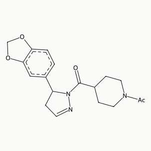 CC(=O)N1CCC(C(=O)N2N=CCC2c2ccc3c(c2)OCO3)CC1